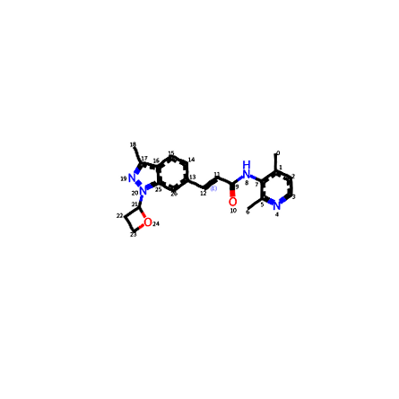 Cc1ccnc(C)c1NC(=O)/C=C/c1ccc2c(C)nn(C3CCO3)c2c1